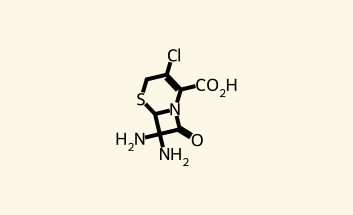 NC1(N)C(=O)N2C(C(=O)O)=C(Cl)CSC21